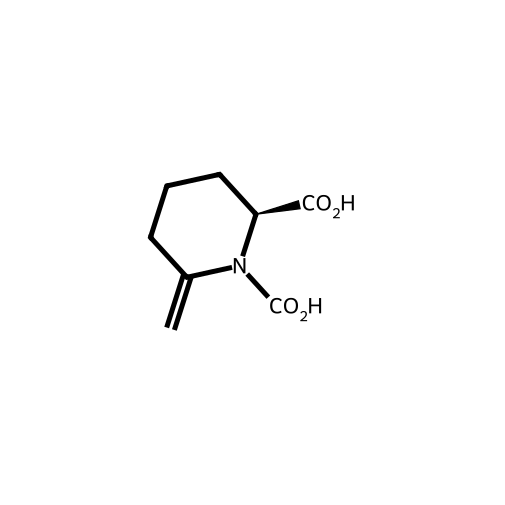 C=C1CCC[C@@H](C(=O)O)N1C(=O)O